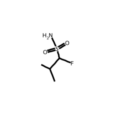 CC(C)C(F)S(N)(=O)=O